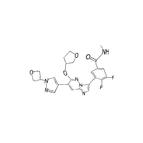 CNC(=O)c1cc(F)c(F)c(-c2cnc3cc(-c4cnn(C5COC5)c4)c(OC4CCOC4)nn23)c1